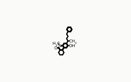 CC(CCCc1ccccc1)c1cc2c(cc1O)c1c(c(=O)n2C)CCCC1